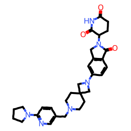 O=C1CCC(N2Cc3cc(N4CC5(CCN(Cc6ccc(N7CCCC7)nc6)CC5)C4)ccc3C2=O)C(=O)N1